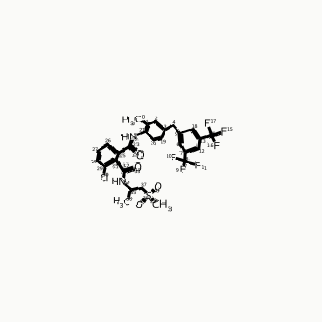 Cc1cc(Cc2cc(C(F)(F)F)cc(C(F)(F)F)c2)ccc1NC(=O)c1cccc(Cl)c1C(=O)NC(C)CS(C)(=O)=O